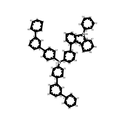 c1ccc(-c2cccc(-c3ccc(N(c4ccc(-c5cccc(-c6ccccc6)c5)cc4)c4cccc(-c5cccc6c5c5ccccc5n6-c5ccccc5)c4)cc3)c2)cc1